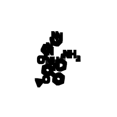 NC[C@@H]1CCCN(c2c(NC(=O)c3ccn(-c4ccnnc4)n3)ccc(OC3CC3)c2-c2ccccc2)C1